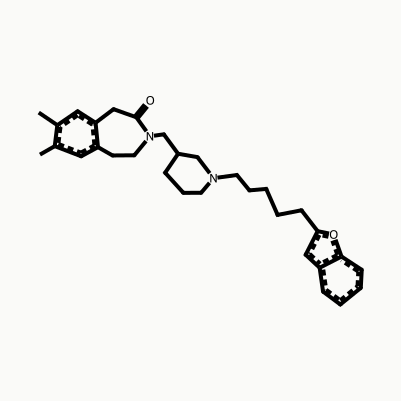 Cc1cc2c(cc1C)CC(=O)N(CC1CCCN(CCCCCc3cc4ccccc4o3)C1)CC2